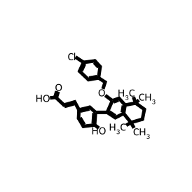 CC1(C)CCC(C)(C)c2cc(-c3cc(/C=C/C(=O)O)ccc3O)c(OCc3ccc(Cl)cc3)cc21